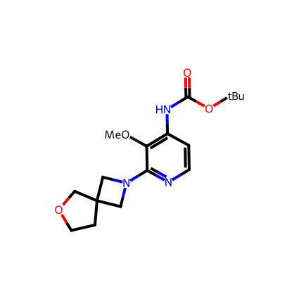 COc1c(NC(=O)OC(C)(C)C)ccnc1N1CC2(CCOC2)C1